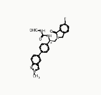 Cn1cc2cc(-c3ccc([C@H](CN4Cc5ccc(F)cc5C4=O)NC(=O)NC=O)cc3)ccc2n1